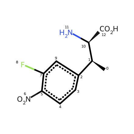 C[C@@H](c1ccc([N+](=O)[O-])c(F)c1)[C@@H](N)C(=O)O